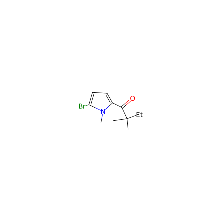 CCC(C)(C)C(=O)c1ccc(Br)n1C